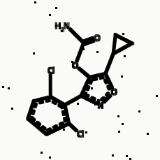 NC(=O)Oc1c(-c2c(Cl)cccc2Cl)noc1C1CC1